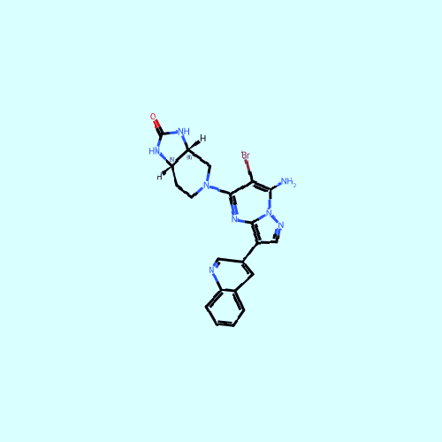 Nc1c(Br)c(N2CC[C@@H]3NC(=O)N[C@@H]3C2)nc2c(-c3cnc4ccccc4c3)cnn12